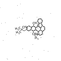 Cc1c2cc(CC(C)(C)C)ccc2c(C)c2c1c1c3c(ccc4c5ccccc5n2c43)cc[n+]1C